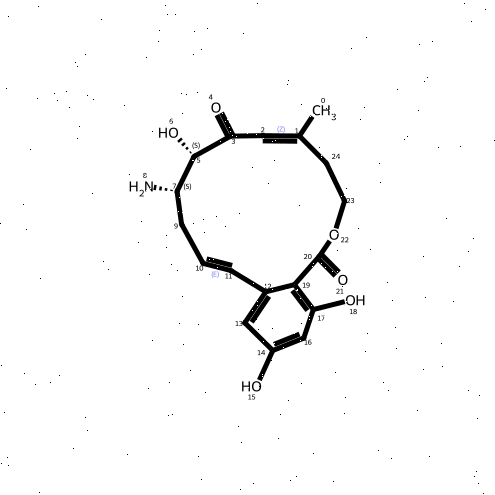 C/C1=C/C(=O)[C@@H](O)[C@@H](N)C/C=C/c2cc(O)cc(O)c2C(=O)OCC1